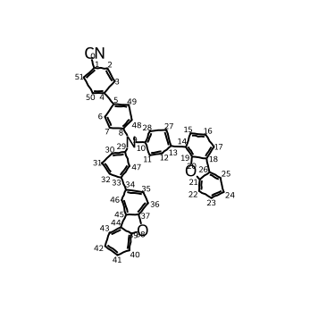 N#Cc1ccc(-c2ccc(N(c3ccc(-c4cccc5c4oc4ccccc45)cc3)c3cccc(-c4ccc5oc6ccccc6c5c4)c3)cc2)cc1